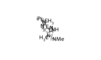 CNCCN(C)Cc1c[nH]nc1C1=CC(N(C)CC(C)C)=NCC1